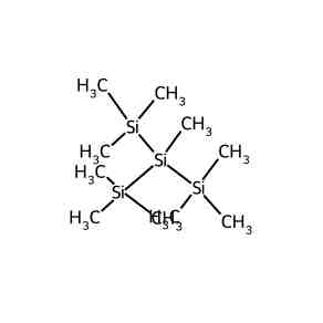 C[Si](C)(C)[Si](C)([Si](C)(C)C)[Si](C)(C)C